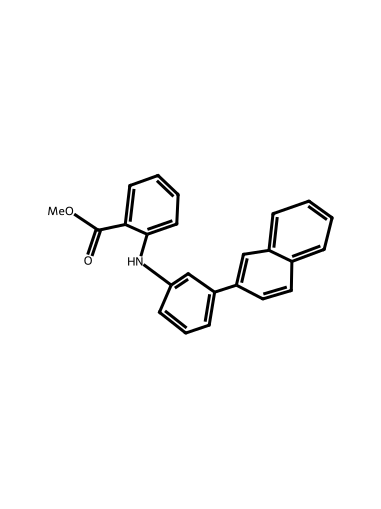 COC(=O)c1ccccc1Nc1cccc(-c2ccc3ccccc3c2)c1